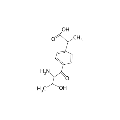 CC(C(=O)O)c1ccc(C(=O)C(N)C(C)O)cc1